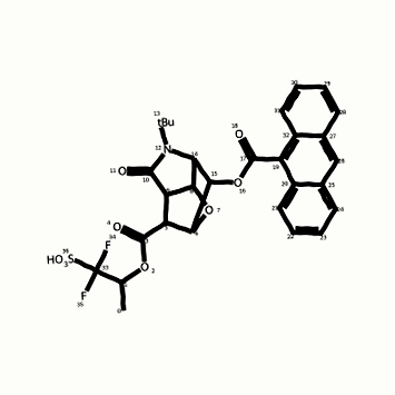 CC(OC(=O)C1C2OC3C1C(=O)N(C(C)(C)C)C3C2OC(=O)c1c2ccccc2cc2ccccc12)C(F)(F)S(=O)(=O)O